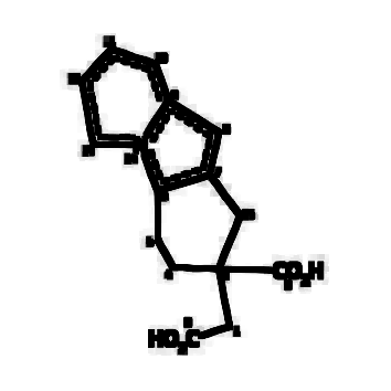 O=C(O)CC1(C(=O)O)CCc2c(cc3ccccn23)C1